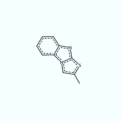 Cc1cn2c(nc3ccccc32)s1